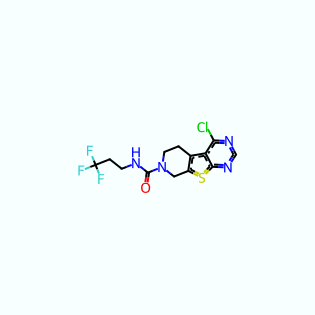 O=C(NCCC(F)(F)F)N1CCc2c(sc3ncnc(Cl)c23)C1